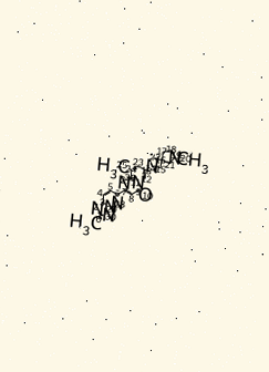 Cc1nc2ccc(-c3cc(=O)n4cc(N5CC6(CCN(C)C6)C5)cc(C)c4n3)nn2n1